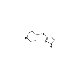 c1cc(OC2CCNCC2)n[nH]1